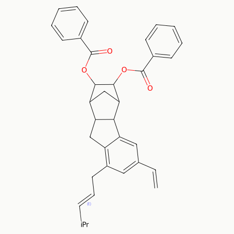 C=Cc1cc(C/C=C/C(C)C)c2c(c1)C1C(C2)C2CC1C(OC(=O)c1ccccc1)C2OC(=O)c1ccccc1